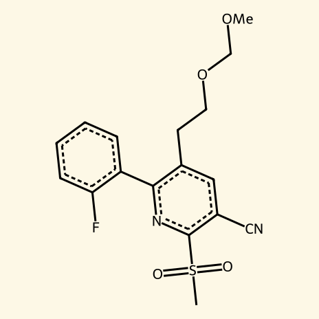 COCOCCc1cc(C#N)c(S(C)(=O)=O)nc1-c1ccccc1F